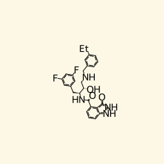 CCc1cccc(CNC[C@H](O)[C@H](Cc2cc(F)cc(F)c2)NC(=O)c2cccc3[nH][nH]c(=O)c23)c1